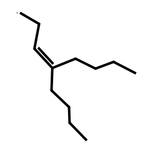 [CH2]CC=C(CCCC)CCCC